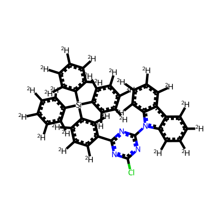 [2H]c1c([2H])c([2H])c([Si](c2c([2H])c([2H])c([2H])c([2H])c2[2H])(c2c([2H])c([2H])c([2H])c([2H])c2[2H])c2c([2H])c([2H])c([2H])c(-c3nc(Cl)nc(-n4c5c([2H])c([2H])c([2H])c([2H])c5c5c([2H])c([2H])c([2H])c([2H])c54)n3)c2[2H])c([2H])c1[2H]